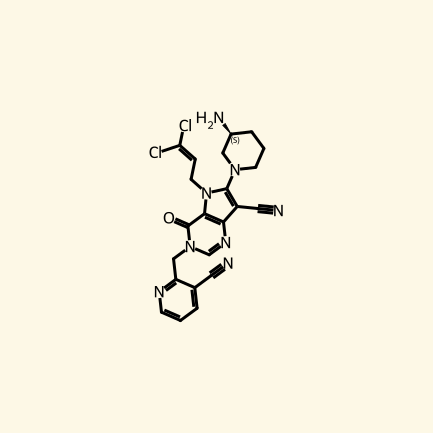 N#Cc1cccnc1Cn1cnc2c(C#N)c(N3CCC[C@H](N)C3)n(CC=C(Cl)Cl)c2c1=O